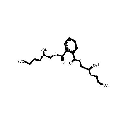 O=C(OCC(O)CCCO)c1ccccc1C(=O)OCC(O)CCCO